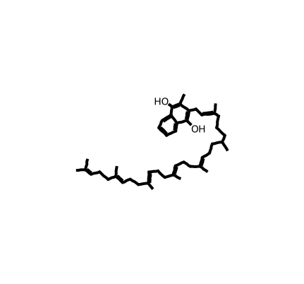 CC(C)=CCC/C(C)=C/CC/C(C)=C/CC/C(C)=C/CC/C(C)=C/CCC(C)CCC/C(C)=C/Cc1c(C)c(O)c2ccccc2c1O